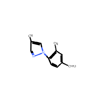 N#Cc1cnn(-c2ccc(C=O)cc2C#N)c1